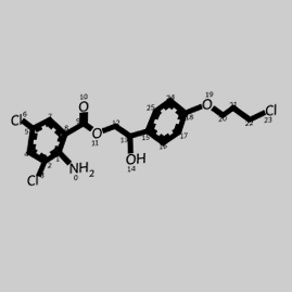 Nc1c(Cl)cc(Cl)cc1C(=O)OCC(O)c1ccc(OCCCCl)cc1